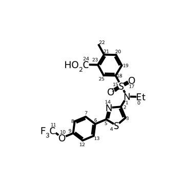 CCN(c1csc(-c2ccc(OC(F)(F)F)cc2)n1)S(=O)(=O)c1ccc(C)c(C(=O)O)c1